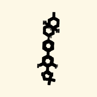 CC1CC[C@@H]2C[C@H](c3ccc(-c4cc(F)c(C5=NC(C)(C)CO5)c(F)c4)cc3)CC[C@@H]2C1